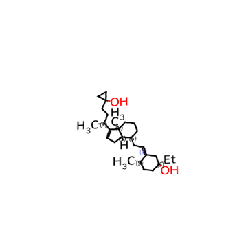 CC[C@]1(O)CC[C@H](C)/C(=C\C[C@@H]2CCC[C@]3(C)C([C@H](C)CCC4(O)CC4)=CC[C@@H]23)C1